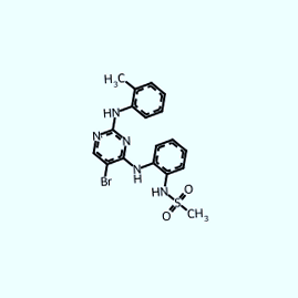 Cc1ccccc1Nc1ncc(Br)c(Nc2ccccc2NS(C)(=O)=O)n1